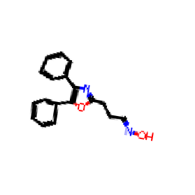 ON=CCCc1nc(-c2ccccc2)c(-c2ccccc2)o1